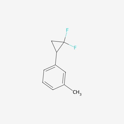 Cc1cccc(C2CC2(F)F)c1